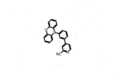 N#Cc1cc(-c2cccc(N3c4ccccc4Oc4ccccc43)c2)ccn1